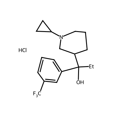 CCC(O)(c1cccc(C(F)(F)F)c1)C1CCCN(C2CC2)C1.Cl